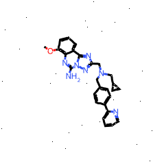 COc1cccc2c1nc(N)n1nc(CN(Cc3ccc(-c4ccccn4)cc3)CC3CC3)nc21